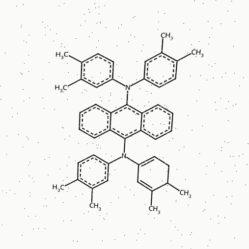 CC1=CC(N(c2ccc(C)c(C)c2)c2c3ccccc3c(N(c3ccc(C)c(C)c3)c3ccc(C)c(C)c3)c3ccccc23)=CCC1C